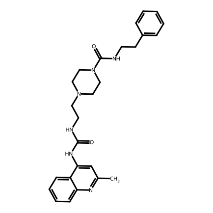 Cc1cc(NC(=O)NCCN2CCN(C(=O)NCCc3ccccc3)CC2)c2ccccc2n1